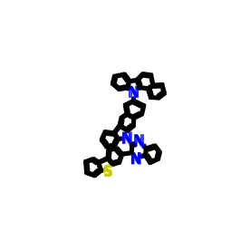 c1ccc2c(c1)ccc1c3ccccc3n(-c3ccc4cc5c(cc4c3)c3ccccc3n5-c3nc4ccccc4nc3-c3ccc4c(c3)sc3ccccc34)c21